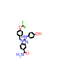 NC(=O)c1ccc2c(c1)nc(Nc1ccc(O)cc1)n2Cc1ccc(OC(F)F)cc1